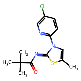 Cc1cn(-c2ccc(Cl)cn2)c(=NC(=O)C(C)(C)C)s1